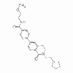 COCCNC(=O)c1ccc(-c2ccc3c(c2)CCN(CCN2CCCC2)C3=O)cc1